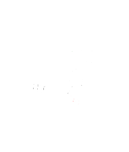 CC1CC(=O)c2ccc(-c3ccccc3F)cc2C1